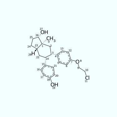 C[C@]12C[C@H](c3ccc(OCCCl)cc3)[C@H](c3ccc(O)cc3)C[C@@H]1CC[C@@H]2O